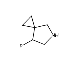 FC1CNCC12CC2